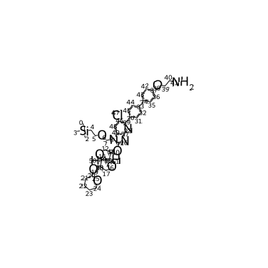 C[Si](C)(C)CCOCn1c(O[C@@H]2CO[C@H]3[C@@H]2OC[C@H]3OC2CCCCO2)nc2nc(-c3ccc(-c4ccc(OCCN)cc4)cc3)c(Cl)cc21